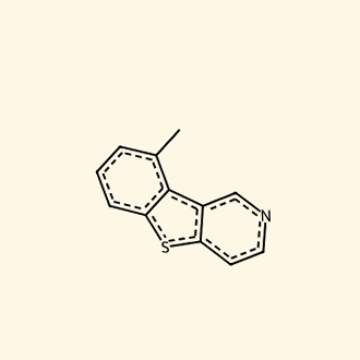 Cc1cccc2sc3ccncc3c12